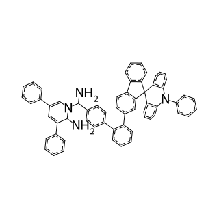 NC1C(c2ccccc2)=CC(c2ccccc2)=CN1C(N)c1ccc(-c2ccccc2-c2ccc3c(c2)C2(c4ccccc4-3)c3ccccc3N(c3ccccc3)c3ccccc32)cc1